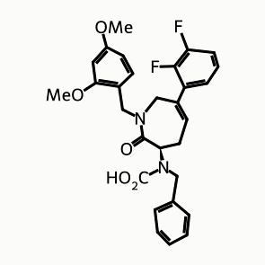 COc1ccc(CN2CC(c3cccc(F)c3F)=CC[C@@H](N(Cc3ccccc3)C(=O)O)C2=O)c(OC)c1